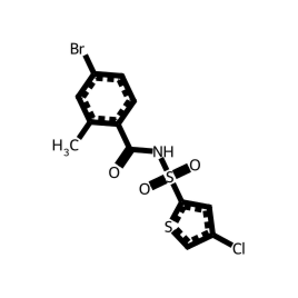 Cc1cc(Br)ccc1C(=O)NS(=O)(=O)c1cc(Cl)cs1